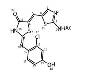 CC(=O)Nc1ncc(C=C2SC(=Nc3ccc(O)cc3Cl)NC2=O)s1